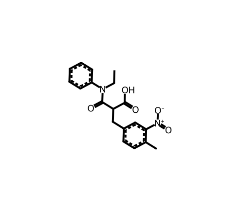 CCN(C(=O)C(Cc1ccc(C)c([N+](=O)[O-])c1)C(=O)O)c1ccccc1